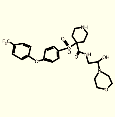 O=C(NCC(O)N1CCOCC1)C1(S(=O)(=O)c2ccc(Oc3ccc(C(F)(F)F)cc3)cc2)CCNCC1